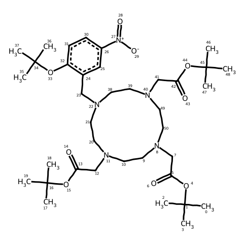 CC(C)(C)OC(=O)CN1CCN(CC(=O)OC(C)(C)C)CCN(Cc2cc([N+](=O)[O-])ccc2OC(C)(C)C)CCN(CC(=O)OC(C)(C)C)CC1